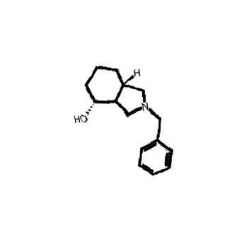 O[C@@H]1CCC[C@@H]2CN(Cc3ccccc3)CC21